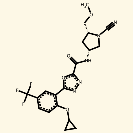 COC[C@H]1C[C@@H](NC(=O)c2nnc(-c3cc(C(F)(F)F)ccc3OC3CC3)o2)CN1C#N